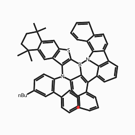 CCCCc1ccc(N2c3cc4ccccc4c4c3B(c3sc5cc6c(cc5c32)C(C)(C)CCC6(C)C)n2c3c-4cccc3c3ccc4ccccc4c32)c(-c2ccccc2)c1